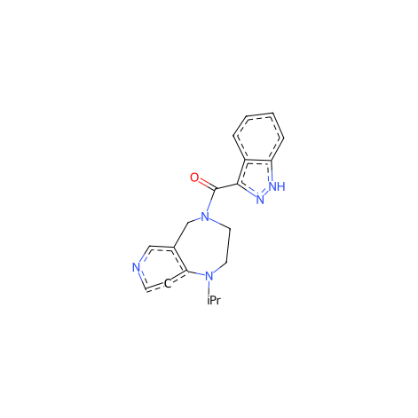 CC(C)N1CCN(C(=O)c2n[nH]c3ccccc23)Cc2cnccc21